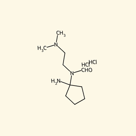 CN(C)CCN(C=O)C1(N)CCCC1.Cl.Cl